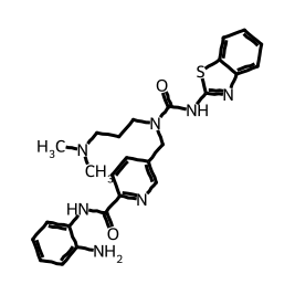 CN(C)CCCN(Cc1ccc(C(=O)Nc2ccccc2N)nc1)C(=O)Nc1nc2ccccc2s1